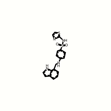 O=S(=O)(Nc1nccs1)c1ccc(NCc2cccc3cc[nH]c23)cc1